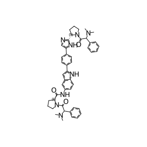 CN(C)C(C(=O)N1CCC[C@H]1C(=O)Nc1ccc2[nH]c(-c3ccc(-c4cnc([C@@H]5CCCN5C(=O)C(c5ccccc5)N(C)C)[nH]4)cc3)cc2c1)c1ccccc1